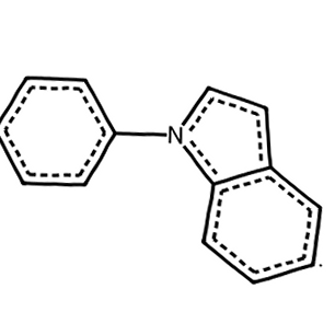 [c]1ccc2c(c1)ccn2-c1ccccc1